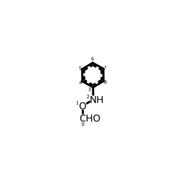 O=CONc1ccccc1